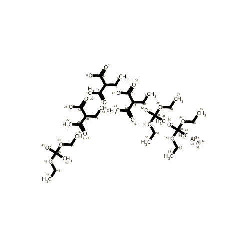 CCC(C(C)=O)C(=O)[O-].CCC(C(C)=O)C(=O)[O-].CCC(C(C)=O)C(=O)[O-].CCOC(C)([O-])OCC.CCOC(C)([O-])OCC.CCOC(C)([O-])OCC.[Al+3].[Al+3]